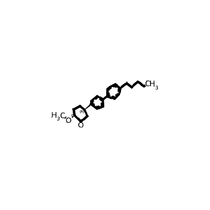 CCCCCc1ccc(-c2ccc([C@@H]3CC[C@@H](OC)C(=O)C3)cc2)cc1